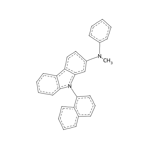 CN(c1ccccc1)c1ccc2c3ccccc3n(-c3cccc4ccccc34)c2c1